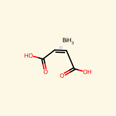 O=C(O)/C=C\C(=O)O.[BiH3]